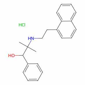 CC(C)(NCCc1cccc2ccccc12)C(O)c1ccccc1.Cl